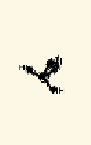 C(CCCN1CCNCC1)CCOC(OCCCCCCN1CCNCC1)(OCCCCCCN1CCNCC1)OCCCCCCN1CCNCC1